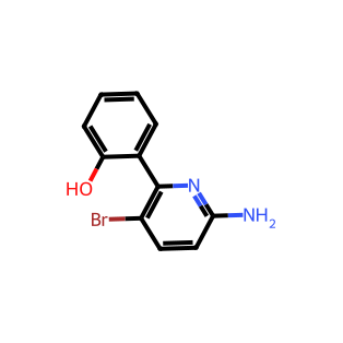 Nc1ccc(Br)c(-c2ccccc2O)n1